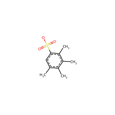 Cc1cc(S([O])(=O)=O)c(C)c(C)c1C